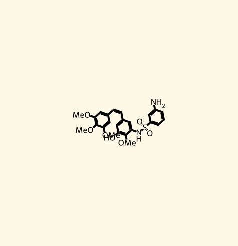 COc1cc(/C=C\c2cc(O)c(OC)c(NS(=O)(=O)c3cccc(N)c3)c2)cc(OC)c1OC